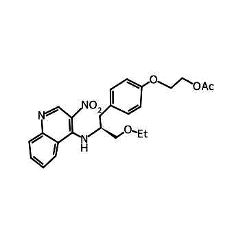 CCOC[C@H](Cc1ccc(OCCOC(C)=O)cc1)Nc1c([N+](=O)[O-])cnc2ccccc12